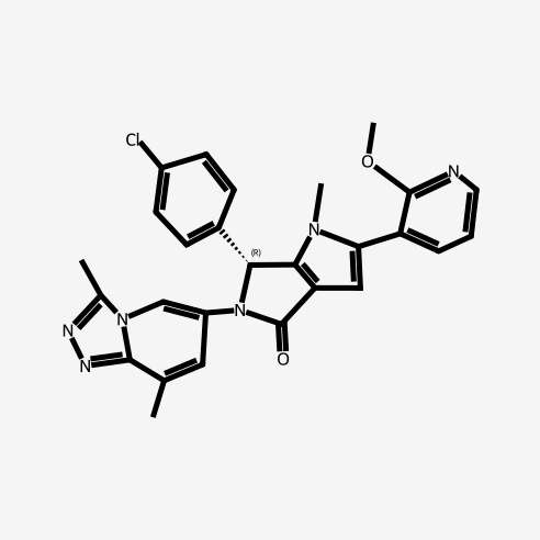 COc1ncccc1-c1cc2c(n1C)[C@@H](c1ccc(Cl)cc1)N(c1cc(C)c3nnc(C)n3c1)C2=O